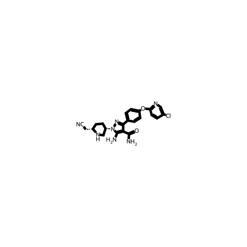 N#CC[C@@H]1CC[C@H](n2nc(-c3ccc(Oc4ccc(Cl)cn4)cc3)c(C(N)=O)c2N)CN1